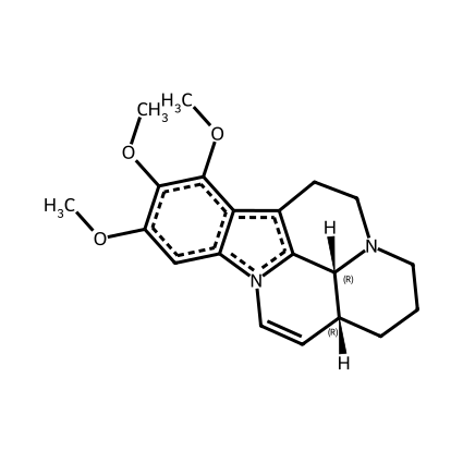 COc1cc2c(c3c4n2C=C[C@H]2CCCN(CC3)[C@@H]42)c(OC)c1OC